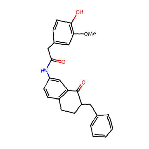 COc1cc(CC(=O)Nc2ccc3c(c2)C(=O)C(Cc2ccccc2)CC3)ccc1O